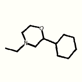 CCN1CCOC(C2CCCCC2)C1